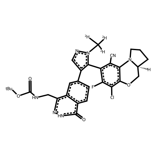 [2H]C([2H])([2H])n1ncc(-c2ccc3c(=O)[nH]nc(CNC(=O)OC(C)(C)C)c3c2)c1-c1c(F)c(Cl)c2c(c1C#N)N1CCC[C@H]1CO2